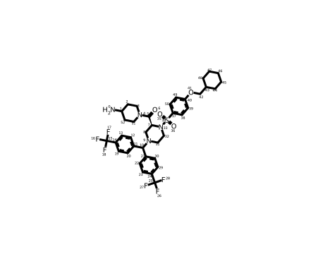 NC1CCN(C(=O)[C@@H]2CN(C(c3ccc(C(F)(F)F)cc3)c3ccc(C(F)(F)F)cc3)CCN2S(=O)(=O)c2ccc(OCC3CCCCC3)cc2)CC1